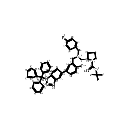 CC(C)(C)OC(=O)N1CCC[C@@H]1CN(Cc1ccc(F)cc1)Cc1cc(-c2ccc3c(c2)nnn3C(c2ccccc2)(c2ccccc2)c2ccccc2)ccc1F